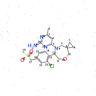 Cc1cc(N2CC3(CC3)COCC2c2ccc(CS(C)(=O)=O)cc2Cl)nc(N)n1